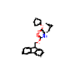 O=C(N[C@@H](CC1CC1)C(=O)OC1CCCC1)OCC1c2ccccc2-c2ccccc21